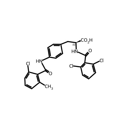 Cc1cccc(Cl)c1C(=O)Nc1ccc(C[C@H](NC(=O)c2c(Cl)cccc2Cl)C(=O)O)cc1